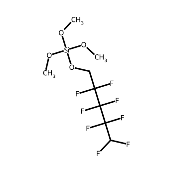 CO[Si](OC)(OC)OCC(F)(F)C(F)(F)C(F)(F)C(F)F